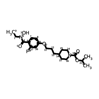 CCN(O)C(=O)c1ccc(OCCCC2CCN(C(=O)OC(C)C)CC2)cc1F